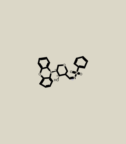 O=S(=O)(/N=C\C1COC[C@H](N2c3ccccc3Oc3ccccc32)[C@H]1O)c1ccccc1